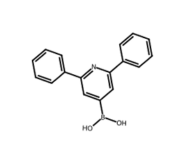 OB(O)c1cc(-c2ccccc2)nc(-c2ccccc2)c1